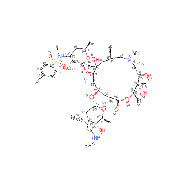 CCCNC[C@]1(O)[C@H](C)O[C@@H](O[C@H]2[C@H](C)[C@@H](O[C@@H]3O[C@H](C)C[C@H](N(C)S(=O)(=O)c4ccc(C)cc4)[C@H]3O)[C@](C)(O)C[C@@H](C)CN(CCC)[C@H](C)[C@@H](O)[C@](C)(O)[C@@H](CC)OC(=O)[C@@H]2C)C[C@@]1(C)OC